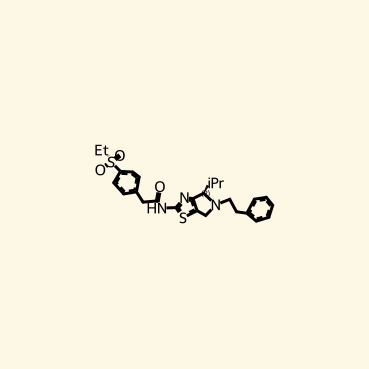 CCS(=O)(=O)c1ccc(CC(=O)Nc2nc3c(s2)CN(CCc2ccccc2)[C@@H]3C(C)C)cc1